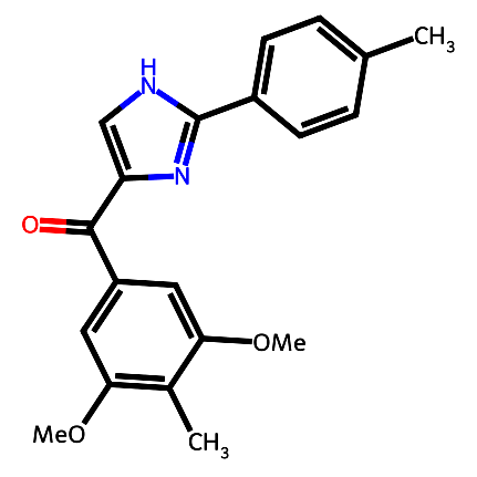 COc1cc(C(=O)c2c[nH]c(-c3ccc(C)cc3)n2)cc(OC)c1C